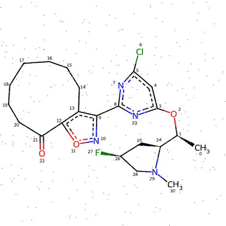 C[C@H](Oc1cc(Cl)nc(-c2noc3c2CCCCCCCC3=O)n1)[C@@H]1C[C@H](F)CN1C